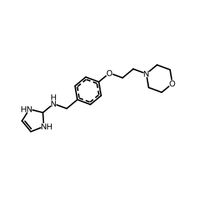 C1=CNC(NCc2ccc(OCCN3CCOCC3)cc2)N1